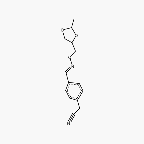 CC1OCC(CO/N=C/c2ccc(CC#N)cc2)O1